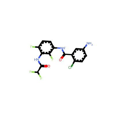 Nc1ccc(Cl)c(C(=O)Nc2ccc(F)c(NC(=O)C(F)F)c2F)c1